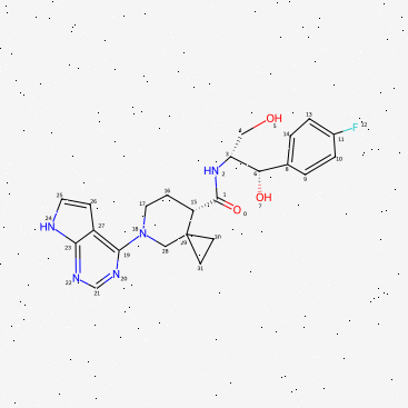 O=C(N[C@H](CO)[C@@H](O)c1ccc(F)cc1)[C@H]1CCN(c2ncnc3[nH]ccc23)CC12CC2